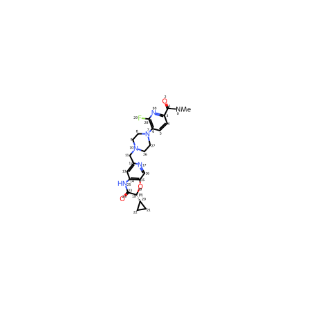 CNC(=O)c1ccc(N2CCN(Cc3cc4c(cn3)O[C@H](C3CC3)C(=O)N4)CC2)c(F)n1